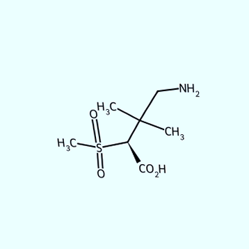 CC(C)(CN)[C@@H](C(=O)O)S(C)(=O)=O